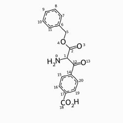 NC(C(=O)OCc1ccccc1)C(=O)c1ccc(C(=O)O)cc1